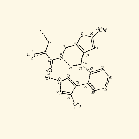 C=C(CF)C(=O)N1Cc2sc(C#N)cc2[C@H](c2ccccc2-c2cn(CC)nc2C(F)(F)F)C1